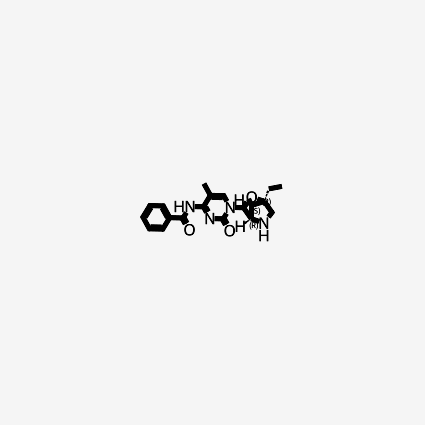 CC[C@@]12CN[C@@H](C(n3cc(C)c(NC(=O)c4ccccc4)nc3=O)O1)[C@@H]2C